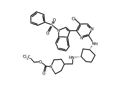 O=C(OCC(Cl)(Cl)Cl)N1CCC(CN[C@H]2CCC[C@@H](Nc3ncc(Cl)c(-c4cn(S(=O)(=O)c5ccccc5)c5ccccc45)n3)C2)CC1